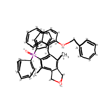 Cc1c2c(c(C)c(P(=O)(c3ccccc3)c3ccccc3)c1-c1c(OCc3ccccc3)ccc3ccccc13)COC2